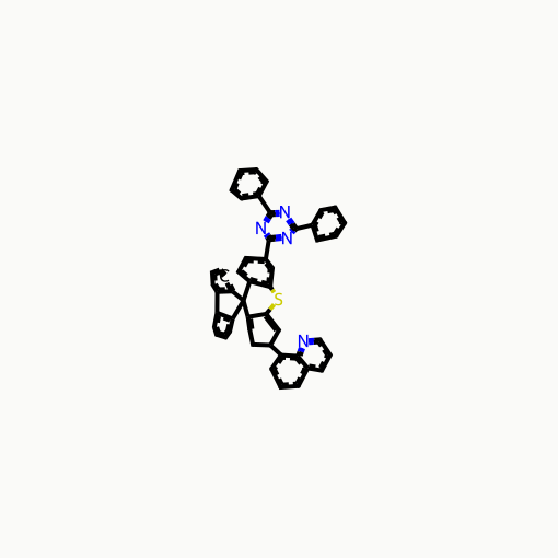 C1=C2Sc3cc(-c4nc(-c5ccccc5)nc(-c5ccccc5)n4)ccc3C3(C2=CCC1c1cccc2cccnc12)c1ccccc1-c1ccccc13